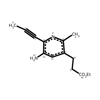 CC#Cc1nc(C)c(CCC(=O)OCC)cc1N